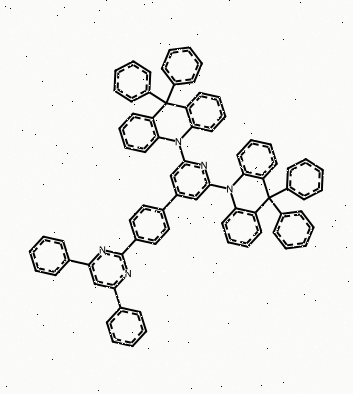 c1ccc(-c2cc(-c3ccccc3)nc(-c3ccc(-c4cc(N5c6ccccc6C(c6ccccc6)(c6ccccc6)c6ccccc65)nc(N5c6ccccc6C(c6ccccc6)(c6ccccc6)c6ccccc65)c4)cc3)n2)cc1